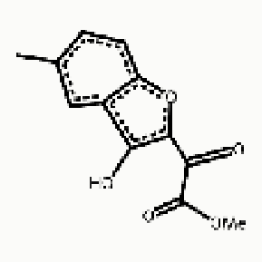 COC(=O)C(=O)c1oc2ccc(C)cc2c1O